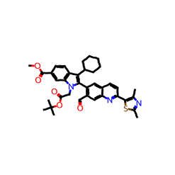 COC(=O)c1ccc2c(C3CCCCC3)c(-c3cc4ccc(-c5sc(C)nc5C)nc4cc3C=O)n(CC(=O)OC(C)(C)C)c2c1